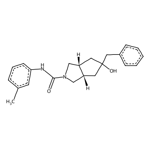 Cc1cccc(NC(=O)N2C[C@@H]3CC(O)(Cc4ccccc4)C[C@@H]3C2)c1